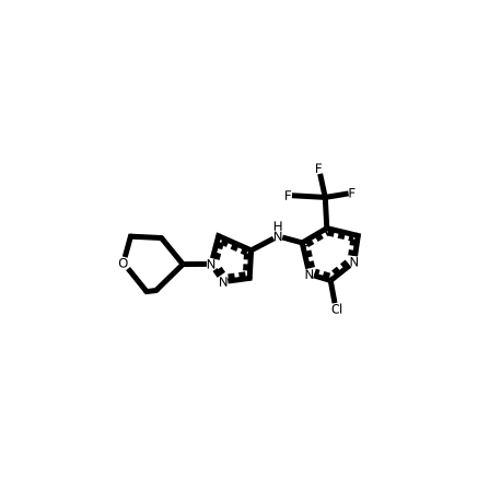 FC(F)(F)c1cnc(Cl)nc1Nc1cnn(C2CCOCC2)c1